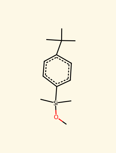 CO[Si](C)(C)c1ccc(C(C)(C)C)cc1